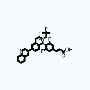 C[C@H]1Cc2cc(-c3cnc4ccccc4c3)ccc2[C@H](c2c(F)cc(/C=C/C(=O)O)cc2F)N1CC(C)(C)F